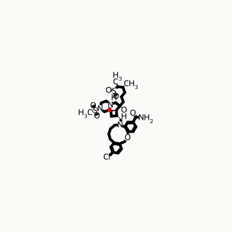 C[C@H]([C@@H](C)CCC[C@](O)(CN1CCN(S(C)(=O)=O)CC1)[C@@H]1CC[C@H]1CN1CCCCc2cc(Cl)ccc2COc2ccc(C(N)=O)cc21)[SH](=O)=O